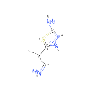 CC(C=N)c1nnc(N)s1